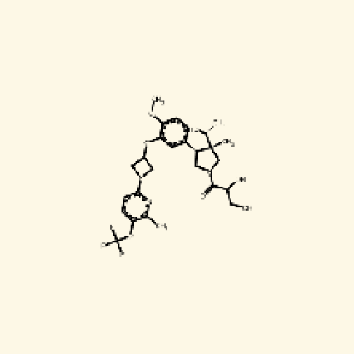 COc1ccc([C@@H]2CN(C(=O)C(O)CO)C[C@@]2(C)[C@@H](C)O)cc1OC1CN(c2ccc(OC(F)(F)F)c(C)n2)C1